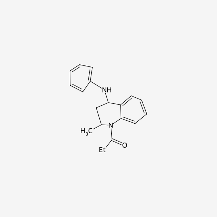 CCC(=O)N1c2ccccc2C(Nc2ccccc2)CC1C